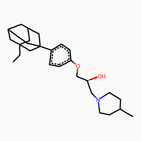 CCC12CC3CC(C1)CC(c1ccc(OC[C@@H](O)CN4CCC(C)CC4)cc1)(C3)C2